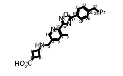 Cc1cc(CNC2CC(C(=O)O)C2)cnc1-c1noc(-c2ccc(CC(C)C)cc2)n1